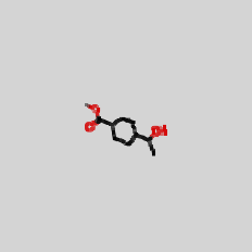 COC(=O)C1CCC(C(C)O)CC1